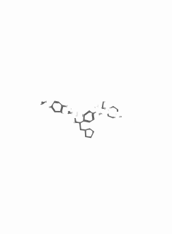 C=CC(N1CCN(C)CC1)S(=O)(=O)c1ccc(C(CC2CCCC2)C(=O)Nc2nc3ccc(OC(F)(F)F)cc3s2)cc1